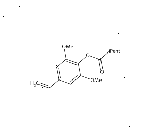 C=Cc1cc(OC)c(OC(=O)C(C)CCC)c(OC)c1